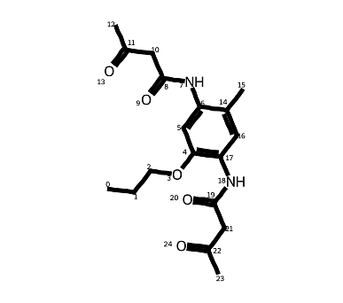 CCCOc1cc(NC(=O)CC(C)=O)c(C)cc1NC(=O)CC(C)=O